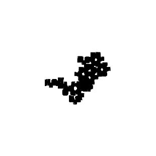 CCNCC(=O)N1CC[C@@H](NS(=O)(=O)c2ccc(N(C(=O)c3ccccc3C)c3ccccc3)c3ccccc23)[C@@H](CC)C1